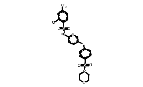 O=S(=O)(Nc1ccc(Sc2ccc(S(=O)(=O)N3CCOCC3)cc2)cn1)c1ccc(C(F)(F)F)cc1Cl